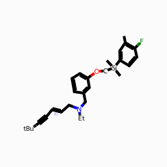 CCN(C/C=C/C#CC(C)(C)C)Cc1cccc(OC[Si](C)(C)c2ccc(F)c(C)c2)c1